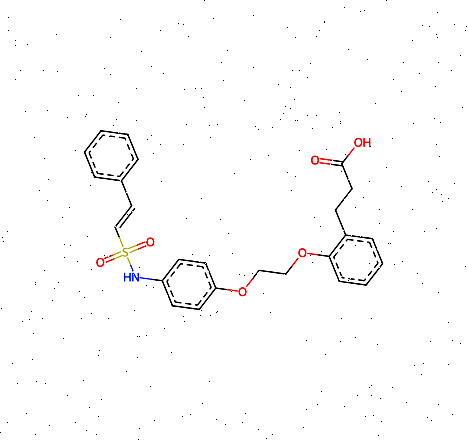 O=C(O)CCc1ccccc1OCCOc1ccc(NS(=O)(=O)C=Cc2ccccc2)cc1